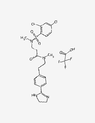 CN(CCc1ccc(C2=NCCN2)cc1)C(=O)CCN(C)S(=O)(=O)c1ccc(Cl)cc1Cl.O=C(O)C(F)(F)F